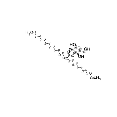 CCCCCCCCCCCCCCCC(CCCCCCCCCCCC)C(=O)O[C@H](C(=O)CO)[C@H](O)[C@H](O)CO